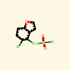 Clc1ccc2occc2c1Cl.O=S(=O)(Cl)Cl